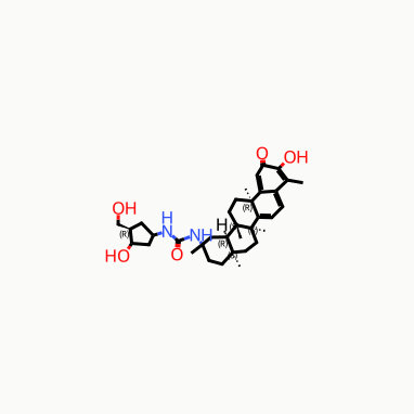 CC1=C(O)C(=O)C=C2C1=CC=C1[C@@]2(C)CC[C@@]2(C)[C@@H]3CC(C)(NC(=O)NC4CC(O)[C@@H](CO)C4)CC[C@]3(C)CC[C@]12C